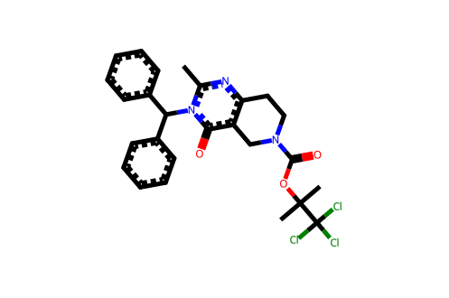 Cc1nc2c(c(=O)n1C(c1ccccc1)c1ccccc1)CN(C(=O)OC(C)(C)C(Cl)(Cl)Cl)CC2